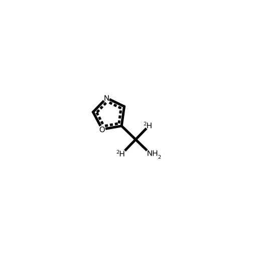 [2H]C([2H])(N)c1cnco1